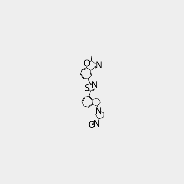 CC(C)OC1=CC=CC(c2ncc(C3=C4CCC(N5CCC(N=O)C5)C4=CCC=C3)s2)C=C1C#N